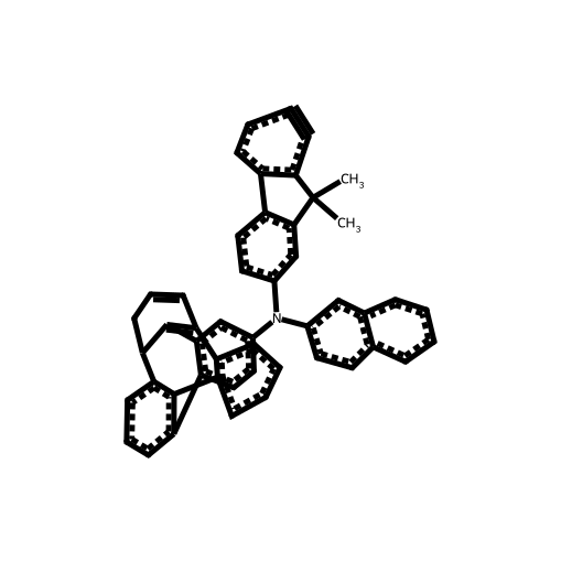 CC1(C)c2c#cccc2-c2ccc(N(c3ccc4c(c3)C3=C5C=CCC3c3cccc-4c3-c3ccccc35)c3ccc4ccccc4c3)cc21